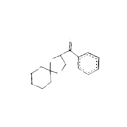 C[C@]1(C(=O)c2ccccc2)COC2(CCCCC2)O1